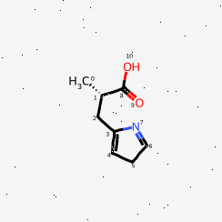 C[C@@H](CC1=CCC=N1)C(=O)O